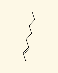 [CH2]C=CCCCCC